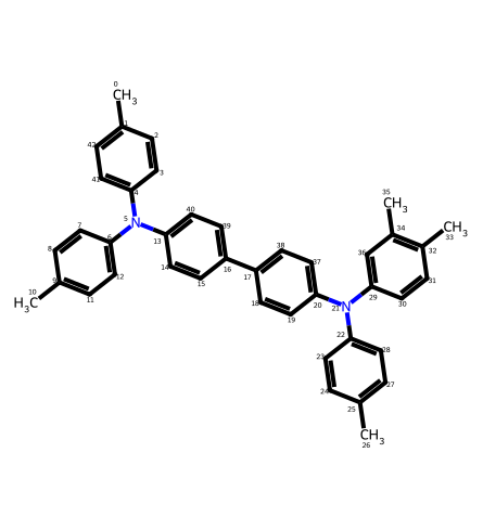 Cc1ccc(N(c2ccc(C)cc2)c2ccc(-c3ccc(N(c4ccc(C)cc4)c4ccc(C)c(C)c4)cc3)cc2)cc1